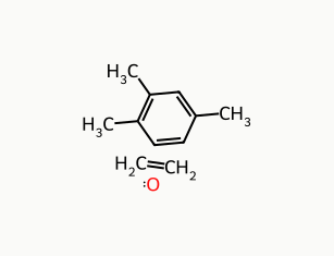 C=C.Cc1ccc(C)c(C)c1.[O]